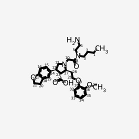 CCCCN(CCN)C(=O)CN1C[C@H](c2ccc3c(c2)CCO3)[C@@H](C(=O)O)[C@@H]1CCOc1ccccc1OC